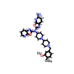 CCOc1cc(CN2CCC(N3CCC(N(c4nc5cccnc5o4)c4nc5ccc(N)nc5o4)CC3)CC2)ccc1OC